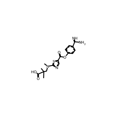 CN(CC(C)(C)C(=O)O)c1ncc(C(=O)Oc2ccc(C(=N)N)cc2)s1